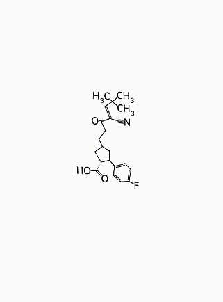 CC(C)(C)/C=C(\C#N)C(=O)CCC1C[C@@H](C(=O)O)[C@H](c2ccc(F)cc2)C1